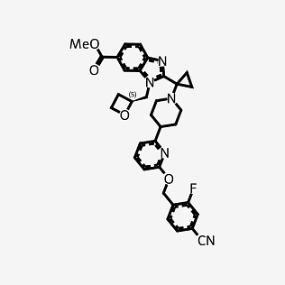 COC(=O)c1ccc2nc(C3(N4CCC(c5cccc(OCc6ccc(C#N)cc6F)n5)CC4)CC3)n(C[C@@H]3CCO3)c2c1